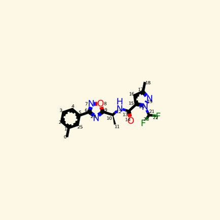 Cc1cccc(-c2noc([C@H](C)NC(=O)c3cc(C)nn3C(F)F)n2)c1